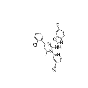 CC1=CC(c2ccccc2Cl)N=C(Nc2nc3ccc(F)cc3o2)N1c1cc(C#N)ccn1